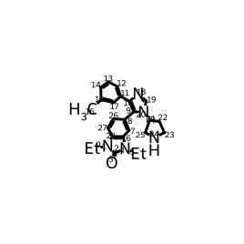 CCn1c(=O)n(CC)c2cc(-c3c(-c4cccc(C)c4)ncn3[C@@H]3CCNC3)ccc21